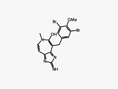 COc1c(Br)cc(Cc2c3nc(=N)nc-3ccn(C)c2O)cc1Br